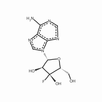 Nc1ncnc2c1ncn2[C@@H]1O[C@H](CO)[C@](O)(F)[C@H]1O